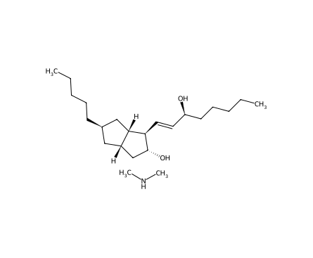 CCCCC[C@@H]1C[C@H]2C[C@@H](O)[C@H](C=C[C@@H](O)CCCCC)[C@H]2C1.CNC